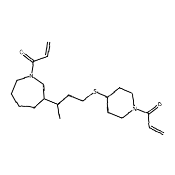 C=CC(=O)N1CCC(SCCC(C)C2CCCCN(C(=O)C=C)C2)CC1